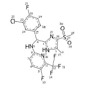 Cc1[nH]c(C(Nc2ccc(F)c(C(F)(F)F)n2)c2ccc(F)c(Cl)c2)nc1S(C)(=O)=O